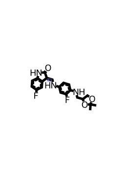 CC1(C)OCC(CNc2ccc(N/C=C3/C(=O)Nc4ccc(F)cc43)cc2F)O1